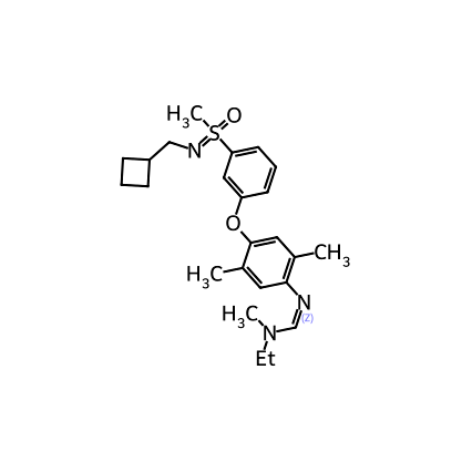 CCN(C)/C=N\c1cc(C)c(Oc2cccc(S(C)(=O)=NCC3CCC3)c2)cc1C